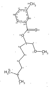 COCC(CCCCC(C)C)OC(=O)c1cccc(C)c1